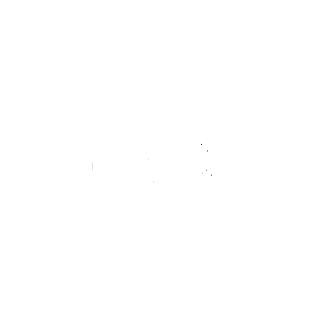 Cc1ncc(-c2ccc(CCC(C)C)cc2)c(O)n1